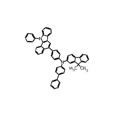 CC1(C)c2ccccc2-c2ccc(N(c3ccc(-c4ccccc4)cc3)c3ccc(-c4cc5c6ccccc6n(-c6ccccc6)c5c5ccccc45)cc3)cc21